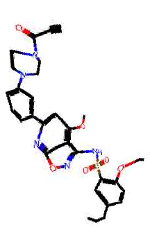 C#CC(=O)N1CCN(c2cccc(-c3cc(OC)c4c(NS(=O)(=O)c5cc(CC)ccc5OC)noc4n3)c2)CC1